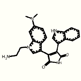 CN(C)c1ccc2c(C3=C(c4c[nH]c5ccccc45)C(=O)NC3=O)cn(CCN)c2c1